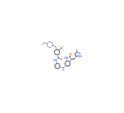 CCN1CCN(Cc2ccc(C(=O)Nc3cccc(Nc4ccc5c(c4)NC(=O)/C5=C\c4cc(C)n[nH]4)c3)cc2C(F)(F)F)CC1